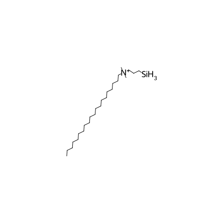 CCCCCCCCCCCCCCCCCCCC[N+](C)(C)CCC[SiH3]